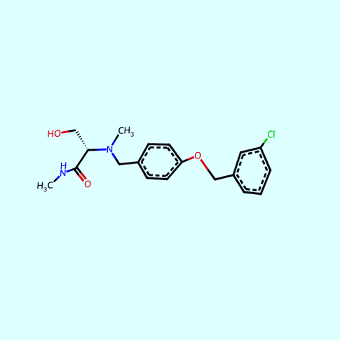 CNC(=O)[C@H](CO)N(C)Cc1ccc(OCc2cccc(Cl)c2)cc1